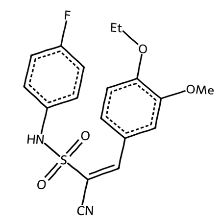 CCOc1ccc(C=C(C#N)S(=O)(=O)Nc2ccc(F)cc2)cc1OC